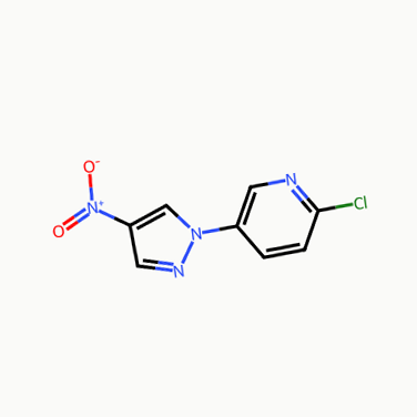 O=[N+]([O-])c1cnn(-c2ccc(Cl)nc2)c1